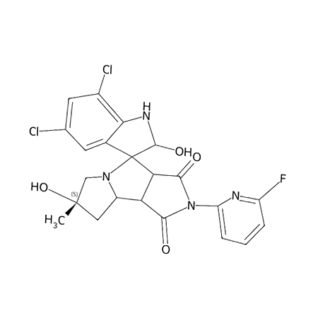 C[C@]1(O)CC2C3C(=O)N(c4cccc(F)n4)C(=O)C3C3(c4cc(Cl)cc(Cl)c4NC3O)N2C1